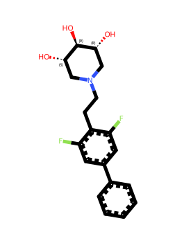 O[C@H]1[C@H](O)CN(CCc2c(F)cc(-c3ccccc3)cc2F)C[C@@H]1O